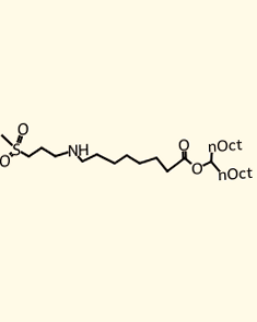 CCCCCCCCC(CCCCCCCC)OC(=O)CCCCCCCNCCCS(C)(=O)=O